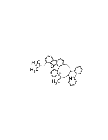 C=C1CC2C(CCc3ccc4c(oc5c(CC(C)C)cccc54)c3-c3cccc[n+]31)c1ccccc1-c1cccc[n+]12